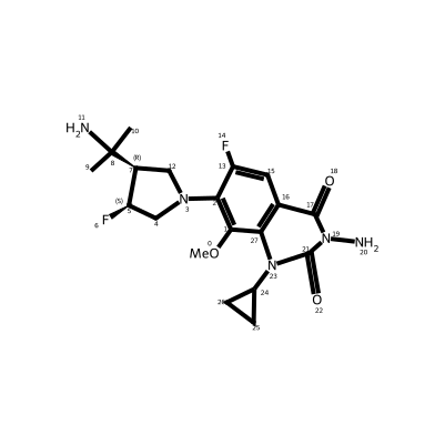 COc1c(N2C[C@@H](F)[C@@H](C(C)(C)N)C2)c(F)cc2c(=O)n(N)c(=O)n(C3CC3)c12